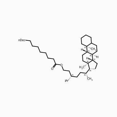 CCCCCCCCCCCCCCCCCC(=O)OCC[C@H](CC[C@@H](C)[C@H]1CC[C@H]2[C@@H]3CCC4CCCC[C@]4(C)[C@H]3CC[C@]12C)C(C)C